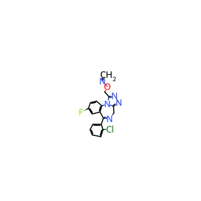 C=NOCc1nnc2n1-c1ccc(F)cc1C(c1ccccc1Cl)=NC2